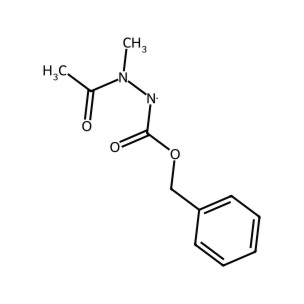 CC(=O)N(C)[N]C(=O)OCc1ccccc1